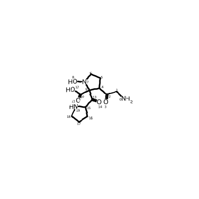 NCC(=O)C1CCN(O)C1(C(=O)O)C(=O)C1CCCN1